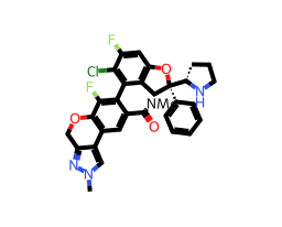 CNC(=O)c1cc2c(c(F)c1-c1c(Cl)c(F)cc3c1C[C@](c1ccccc1)([C@@H]1CCCN1)O3)OCc1nn(C)cc1-2